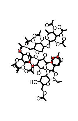 CCS[C@@H]1OC(COC(C)=O)C(O)[C@H](O[C@@H]2OC(COC(C)=O)C(O[C@@H]3OC(COC(C)=O)C(OC(C)=O)[C@H](OC(C)=O)C3OC3OC(C)[C@H](OC(C)=O)C(OC(C)=O)[C@H]3OC(C)=O)[C@H](O[C@@H]3OC(C)C(OC(C)=O)[C@H](OC(C)=O)C3OC(C)=O)C2NC(C)=O)C1OC(=O)c1ccccc1